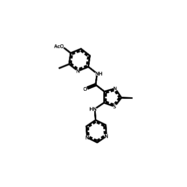 CC(=O)Oc1ccc(NC(=O)c2nc(C)sc2Nc2cncnc2)nc1C